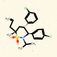 C=CC[C@]1(C)C[C@H](c2cccc(Cl)c2)[C@@H](c2ccc(Cl)cc2)N(C(C)C)S1(=O)=O